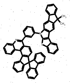 CC1(C)c2ccccc2-c2cc3c(cc21)c1c2ccccc2sc1n3-c1cccc(-c2nc3ccccc3c3c4c(ccc23)C2(c3ccccc3-c3ccccc32)c2ccccc2-4)c1